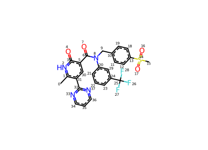 Cc1[nH]c(=O)c(C(=O)N(Cc2ccc(S(C)(=O)=O)cc2)c2cccc(C(F)(F)F)c2)cc1-c1ncccn1